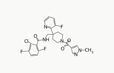 Cn1cc(S(=O)(=O)N2CCC(CNC(=O)c3c(F)ccc(F)c3Cl)(c3ncccc3F)CC2)cn1